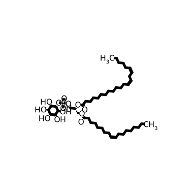 CCCCC/C=C\C/C=C\CCCCCCCCCCCC(=O)O[C@H](COC(=O)CCCCCCC/C=C\CCCCCCCC)COP(=O)(O)OC1C(O)C(O)C(O)[C@@H](O)C1O